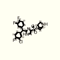 O=S(=O)(c1c[nH]c(C(c2ccc(F)c(F)c2)c2ccc(F)c(Cl)c2)n1)N1CC2CC1CN2